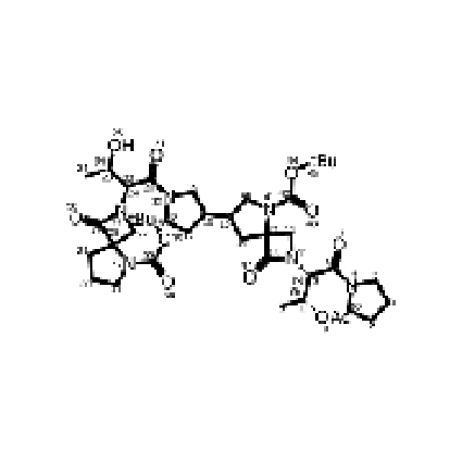 CC(=O)O[C@H](C)[C@@H](C(=O)N1CCCC1)N1CC2(CC(C3CCN(C(=O)[C@H]([C@@H](C)O)N4CC5(CCCN5C(=O)OC(C)(C)C)C4=O)C3)CN2C(=O)OC(C)(C)C)C1=O